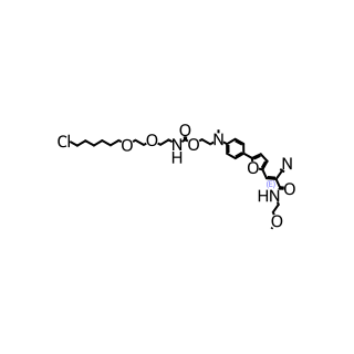 COCCNC(=O)/C(C#N)=C/c1ccc(-c2ccc(N(C)CCOC(=O)NCCOCCOCCCCCCCl)cc2)o1